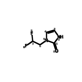 O=c1[nH]ccn1CC(F)F